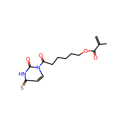 C=C(C)C(=O)OCCCCCC(=O)n1ccc(=S)[nH]c1=O